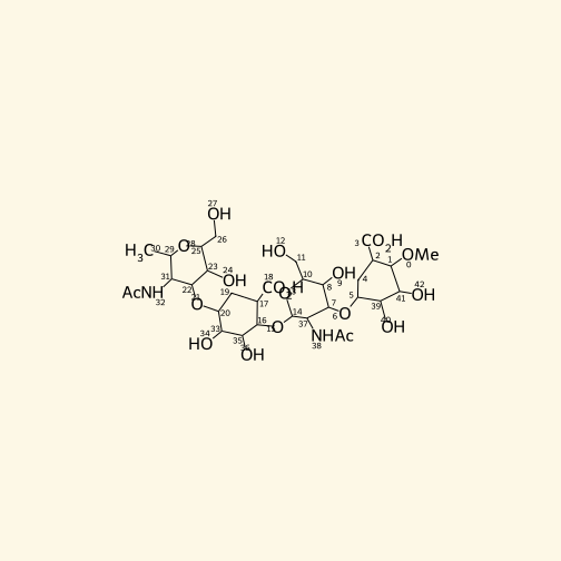 COC1C(C(=O)O)CC(OC2C(O)C(CO)OC(OC3C(C(=O)O)CC(OC4C(O)C(CO)OC(C)C4NC(C)=O)C(O)C3O)C2NC(C)=O)C(O)C1O